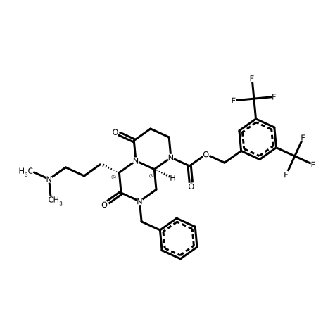 CN(C)CCC[C@H]1C(=O)N(Cc2ccccc2)C[C@@H]2N(C(=O)OCc3cc(C(F)(F)F)cc(C(F)(F)F)c3)CCC(=O)N21